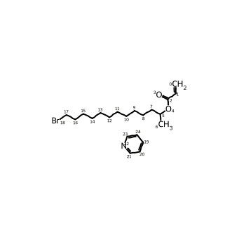 C=CC(=O)OC(C)CCCCCCCCCCCBr.c1ccncc1